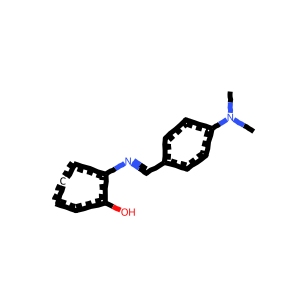 CN(C)c1ccc(/C=N/c2ccccc2O)cc1